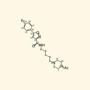 CC(=O)N1CCN(CCCCCNC(=O)c2cc(-c3ccc(F)cc3)on2)CC1